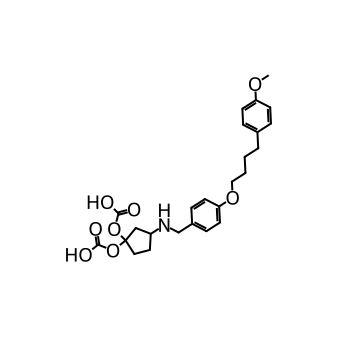 COc1ccc(CCCCOc2ccc(CNC3CCC(OC(=O)O)(OC(=O)O)C3)cc2)cc1